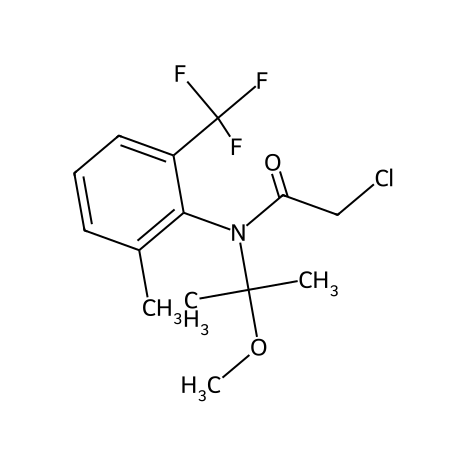 COC(C)(C)N(C(=O)CCl)c1c(C)cccc1C(F)(F)F